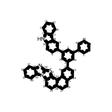 c1ccc(-c2cc(-c3ccc4[nH]c5ccccc5c4c3)cc(-c3ccc4ccc5ccc6c(sc7nc8ccccc8n76)c5c4c3)c2)cc1